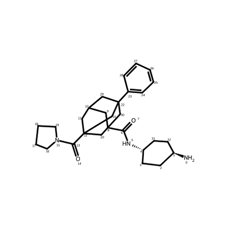 N[C@H]1CC[C@H](NC(=O)C23CC4CC(C(=O)N5CCCC5)(C2)CC(c2ccccc2)(C4)C3)CC1